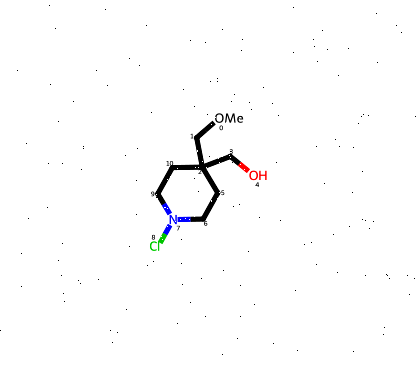 COCC1(CO)CCN(Cl)CC1